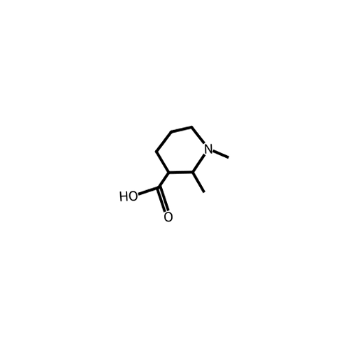 CC1C(C(=O)O)CCCN1C